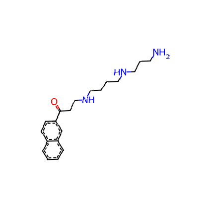 NCCCNCCCCNCCC(=O)c1ccc2ccccc2c1